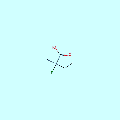 CC[C@@](C)(F)C(=O)O